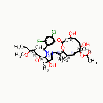 CC[C@H](OC)[C@@H](C)[C@H]1O[C@@H]1C(NCc1ccc(Cl)cc1F)C(C)(O)/C=C/C=C(\C)[C@H]1OC(=O)C[C@H](O)CC[C@@](C)(O)[C@@H](OC(C)=O)/C=C/[C@@H]1C